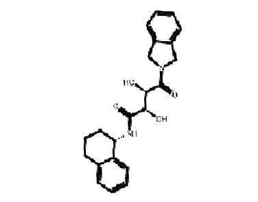 O=C(N[C@H]1CCCc2ccccc21)[C@H](O)[C@@H](O)C(=O)N1Cc2ccccc2C1